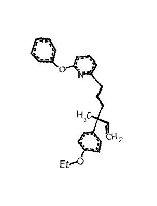 C=CC(C)(CCCc1cccc(Oc2ccccc2)n1)c1ccc(OCC)cc1